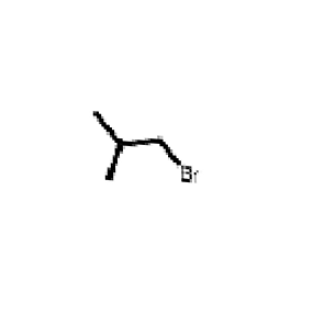 C[C](C)CBr